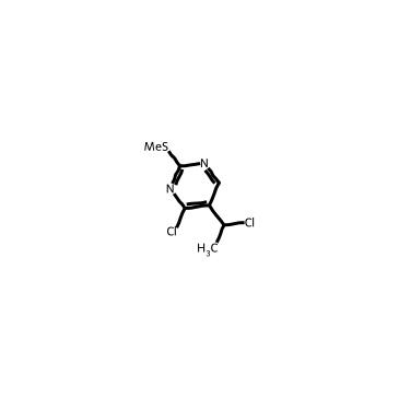 CSc1ncc(C(C)Cl)c(Cl)n1